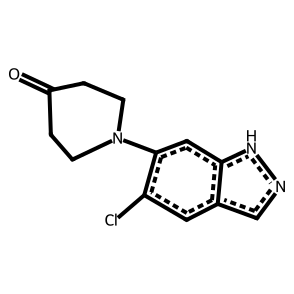 O=C1CCN(c2cc3[nH]ncc3cc2Cl)CC1